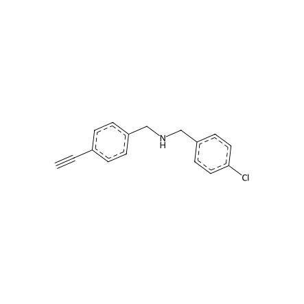 C#Cc1ccc(CNCc2ccc(Cl)cc2)cc1